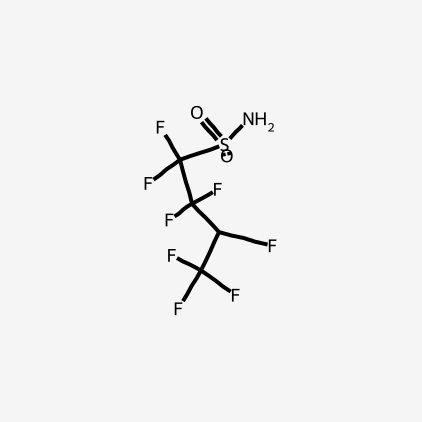 NS(=O)(=O)C(F)(F)C(F)(F)C(F)C(F)(F)F